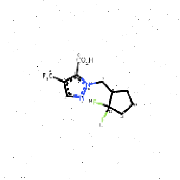 O=C(O)c1c(C(F)(F)F)cnn1CC1CCCC1(F)F